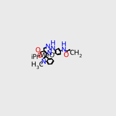 C=CC(=O)Nc1ccc(OC)c(Nc2ncc(C(=O)OC(C)C)c(-c3cn(C)c4ccccc34)n2)c1